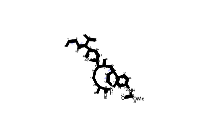 C=C(C)/C(=C(F)\C=C/C)c1ccc(C2CCCC(C)C(=O)Nc3cc(NC(=O)OC)ccc3C(/C=C\C)=C/C2=C)nc1